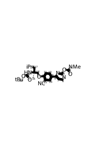 CNC(=O)Oc1nccc(-c2ccc(OC[C@](C)(CC(C)C)NC(=O)OC(C)(C)C)c(C#N)c2)n1